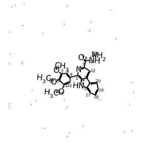 COc1cc(-c2nc(C(=O)NN)cc3c2[nH]c2ccccc23)cc(OC)c1OC